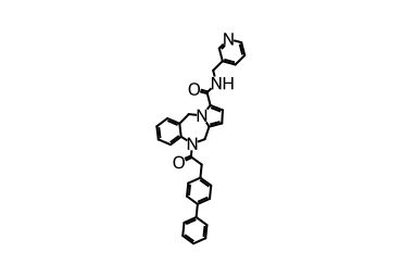 O=C(NCc1cccnc1)c1ccc2n1Cc1ccccc1N(C(=O)Cc1ccc(-c3ccccc3)cc1)C2